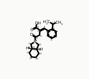 CC(C)c1ccccc1C=C(CC(=O)N1C[C@H]2CCCC[C@H]2C1)C(=O)O